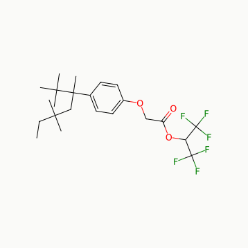 CCC(C)(C)CC(C)(c1ccc(OCC(=O)OC(C(F)(F)F)C(F)(F)F)cc1)C(C)(C)C